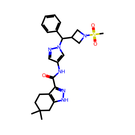 CC1(C)CCc2c(C(=O)Nc3cnn(C(c4ccccc4)C4CN(S(C)(=O)=O)C4)c3)n[nH]c2C1